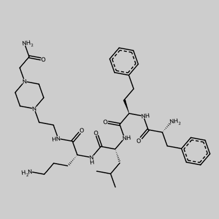 CC(C)C[C@@H](NC(=O)[C@@H](CCc1ccccc1)NC(=O)[C@H](N)Cc1ccccc1)C(=O)N[C@H](CCCN)C(=O)NCCN1CCN(CC(N)=O)CC1